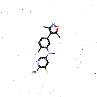 Cc1ccc(-c2c(C)noc2C)cc1N(C)c1cnc(C#N)c(F)c1